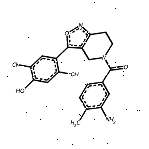 Cc1ccc(C(=O)N2CCc3noc(-c4cc(Cl)c(O)cc4O)c3C2)cc1N